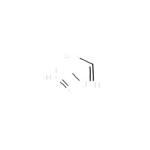 C=C.C=COC(C)=O.O=S(=O)(O)Cl